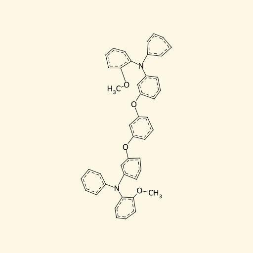 COc1ccccc1N(c1ccccc1)c1cccc(Oc2cccc(Oc3cccc(N(c4ccccc4)c4ccccc4OC)c3)c2)c1